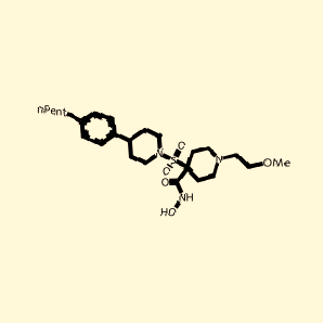 CCCCCc1ccc(C2CCN(S(=O)(=O)C3(C(=O)NO)CCN(CCOC)CC3)CC2)cc1